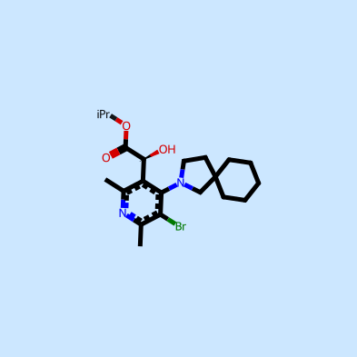 Cc1nc(C)c([C@H](O)C(=O)OC(C)C)c(N2CCC3(CCCCC3)C2)c1Br